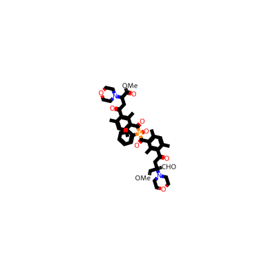 COCC(C=O)(CC(=O)c1c(C)cc(C)c(C(=O)P(=O)(C(=O)c2c(C)cc(C)c(C(=O)CC(C(=O)OC)N3CCOCC3)c2C)c2ccccc2)c1C)N1CCOCC1